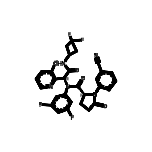 N#Cc1cccc(N2C(=O)CC[C@H]2C(=O)N(c2cc(F)cc(F)c2)[C@H](C(=O)NC2CC(F)(F)C2)c2ncccc2Cl)c1